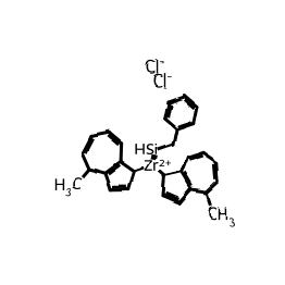 CC1C=CC=CC2=C1C=C[CH]2[Zr+2](=[SiH]Cc1ccccc1)[CH]1C=CC2=C1C=CC=CC2C.[Cl-].[Cl-]